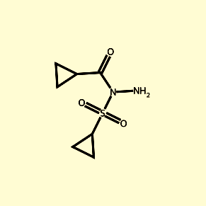 NN(C(=O)C1CC1)S(=O)(=O)C1CC1